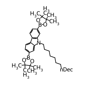 CCCCCCCCCCCCCCCCCn1c2cc(B3OC(C)(C)C(C)(C)O3)ccc2c2ccc(B3OC(C)(C)C(C)(C)O3)cc21